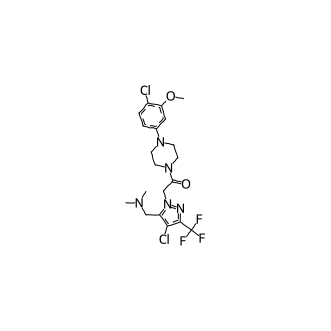 COc1cc(N2CCN(C(=O)Cn3nc(C(F)(F)F)c(Cl)c3CN(C)C)CC2)ccc1Cl